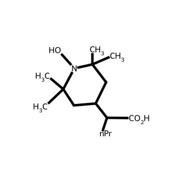 CCCC(C(=O)O)C1CC(C)(C)N(O)C(C)(C)C1